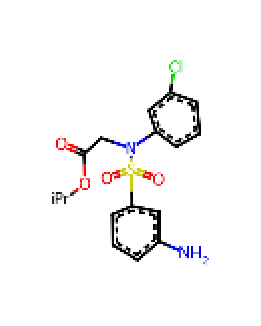 CC(C)OC(=O)CN(c1cccc(Cl)c1)S(=O)(=O)c1cccc(N)c1